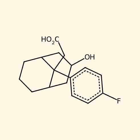 O=C(O)CC1(c2ccc(F)cc2)C2CCCC1CC(O)C2